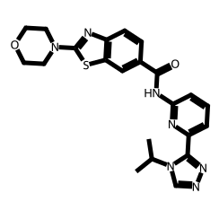 CC(C)n1cnnc1-c1cccc(NC(=O)c2ccc3nc(N4CCOCC4)sc3c2)n1